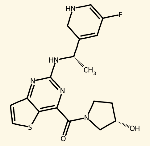 C[C@H](Nc1nc(C(=O)N2CC[C@H](O)C2)c2sccc2n1)C1=CC(F)=CNC1